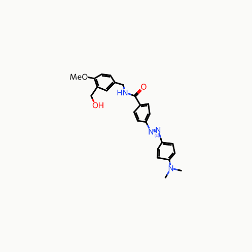 COc1ccc(CNC(=O)c2ccc(/N=N/c3ccc(N(C)C)cc3)cc2)cc1CO